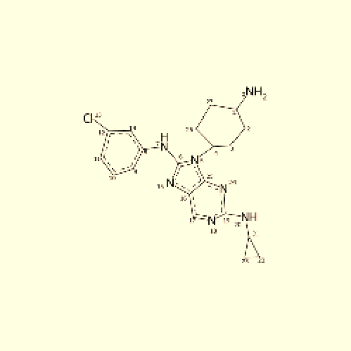 NC1CCC(n2c(Nc3cccc(Cl)c3)nc3cnc(NC4CC4)nc32)CC1